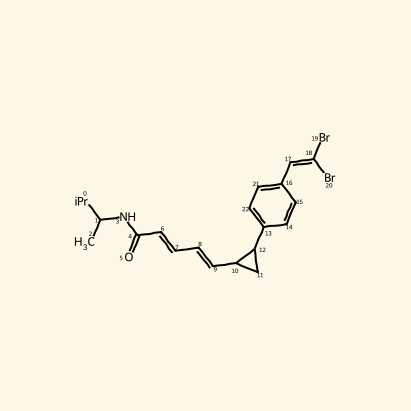 CC(C)C(C)NC(=O)C=CC=CC1CC1c1ccc(C=C(Br)Br)cc1